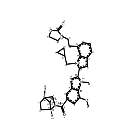 COc1cc(C(=O)N2C[C@H]3CC[C@@H]2[C@@H]3N)cc2nc(-c3cc4cccc(CCN5CCOC5=O)c4n3CC3CC3)n(C)c12